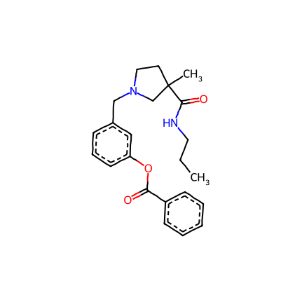 CCCNC(=O)C1(C)CCN(Cc2cccc(OC(=O)c3ccccc3)c2)C1